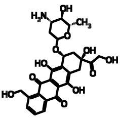 C[C@@H]1OC(O[C@H]2C[C@](O)(C(=O)CO)Cc3c(O)c4c(c(O)c32)C(=O)c2c(CO)cccc2C4=O)C[C@H](N)[C@H]1O